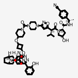 CC(C)[C@H](C(=O)N1C[C@H](O)C[C@H]1C(=O)N[C@@H](C)c1ccc(C#N)cc1)c1cc(N2CCN(C(=O)N3CCC(OC4CC(Oc5cc(N6C7CC[C@@H]6CN(c6cc(-c8ccccc8O)nnc6N)C7)ccn5)C4)CC3)CC2)no1